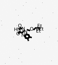 CC[N+](CC)(CC)CCOCCn1c2nc(=O)[nH]c(=O)c-2nc2cc(C)c(C)cc21